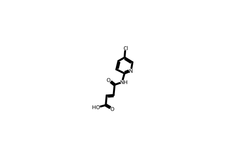 O=C(O)C=CC(=O)Nc1ccc(Cl)cn1